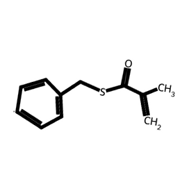 C=C(C)C(=O)SCc1cc[c]cc1